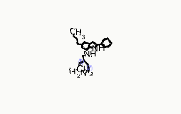 C/C=C(\C=C/N)CNc1cc(CCCC)cc2cc(-c3ccccc3)[nH]c12